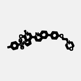 Cc1ccc(S(=O)(=O)n2ccc3c(-c4ccc5cc(-c6ccc(OCCN7CCOCC7)cc6)ccc5n4)cn(C)c(=O)c32)cc1